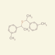 Cc1cccc(C(C)SC(C)c2cccc(C)c2)c1